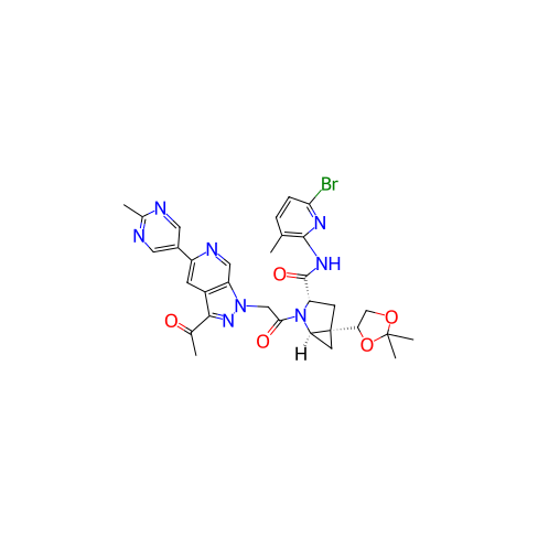 CC(=O)c1nn(CC(=O)N2[C@H](C(=O)Nc3nc(Br)ccc3C)C[C@@]3(C4COC(C)(C)O4)C[C@@H]23)c2cnc(-c3cnc(C)nc3)cc12